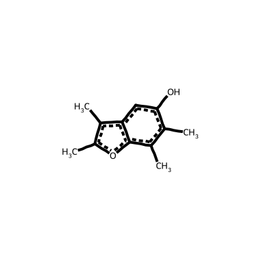 Cc1oc2c(C)c(C)c(O)cc2c1C